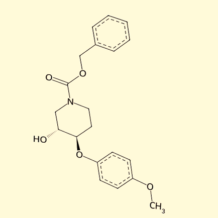 COc1ccc(O[C@@H]2CCN(C(=O)OCc3ccccc3)C[C@H]2O)cc1